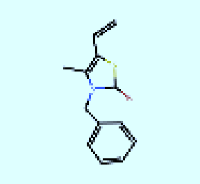 C=CC1=C(C)N(Cc2ccccc2)C(Br)S1